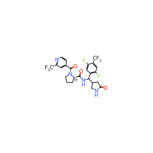 O=C1CC(C(NC(=O)[C@H]2CCCN2C(=O)c2ccnc(C(F)(F)F)c2)c2cc(F)c(C(F)(F)F)cc2F)CN1